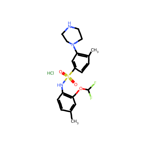 Cc1ccc(NS(=O)(=O)c2ccc(C)c(N3CCNCC3)c2)c(OC(F)F)c1.Cl